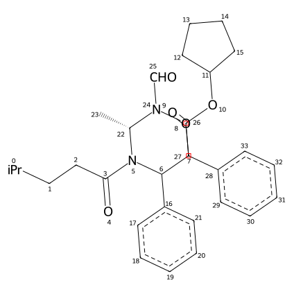 CC(C)CCC(=O)N(C(CC(=O)OC1CCCC1)c1ccccc1)[C@H](C)N(C=O)OCc1ccccc1